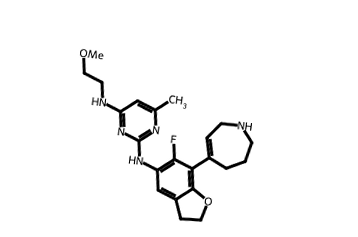 COCCNc1cc(C)nc(Nc2cc3c(c(C4=CCNCCC4)c2F)OCC3)n1